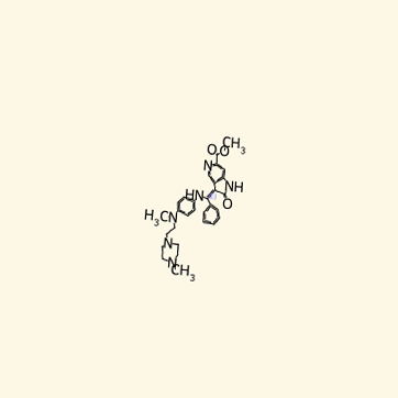 COC(=O)c1cc2c(cn1)/C(=C(\Nc1ccc(N(C)CCN3CCN(C)CC3)cc1)c1ccccc1)C(=O)N2